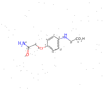 NC(=O)COc1ccc(NCC(=O)O)cc1